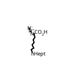 CCCCCCCCCCCCCC(N=[N+]=[N-])C(=O)O